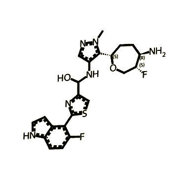 Cn1ncc(NC(O)c2csc(-c3c(F)ccc4[nH]ccc34)n2)c1[C@@H]1CC[C@@H](N)[C@H](F)CO1